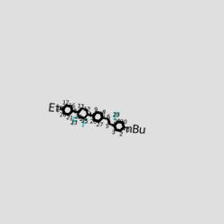 CCCCc1ccc(/C=C/c2ccc(C3CC=C(c4ccc(CC)cc4)C(F)=C3F)cc2)c(F)c1